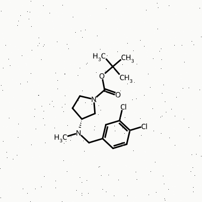 CN(Cc1ccc(Cl)c(Cl)c1)[C@@H]1CCN(C(=O)OC(C)(C)C)C1